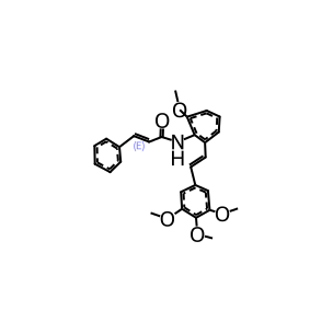 COc1cccc(C=Cc2cc(OC)c(OC)c(OC)c2)c1NC(=O)/C=C/c1ccccc1